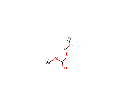 C[CH]OCOC(O)OCCCC